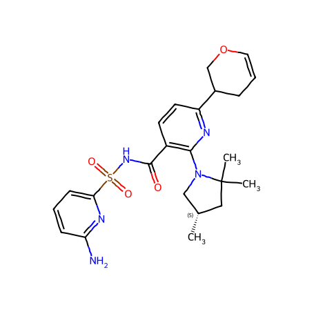 C[C@@H]1CN(c2nc(C3CC=COC3)ccc2C(=O)NS(=O)(=O)c2cccc(N)n2)C(C)(C)C1